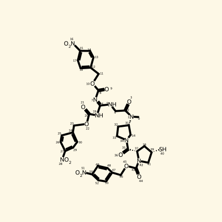 CN(C(=O)CN/C(=N\C(=O)OCc1ccc([N+](=O)[O-])cc1)NC(=O)OCc1ccc([N+](=O)[O-])cc1)[C@H]1CCN(C(=O)[C@@H]2C[C@H](S)CN2C(=O)OCc2ccc([N+](=O)[O-])cc2)C1